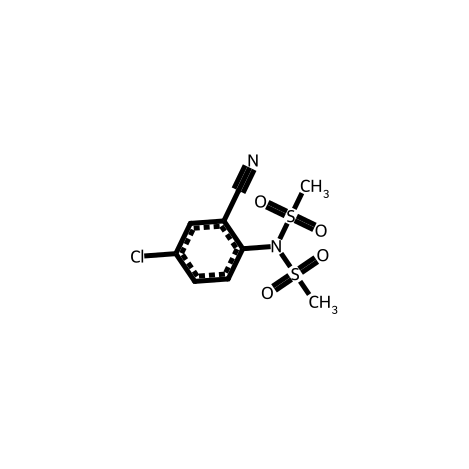 CS(=O)(=O)N(c1ccc(Cl)cc1C#N)S(C)(=O)=O